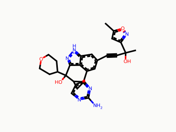 Cc1cc(C(C)(O)C#Cc2cc(-c3ccnc(N)n3)c3c(C(O)(C4CCOCC4)C4CC4)n[nH]c3c2)no1